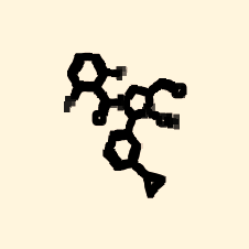 O=CC1CN(C(=O)c2c(F)cccc2F)C(c2cccc(C3CC3)c2)N1O